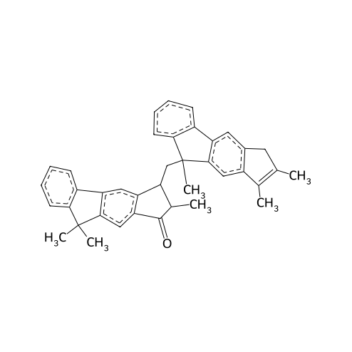 CC1=C(C)c2cc3c(cc2C1)-c1ccccc1C3(C)CC1c2cc3c(cc2C(=O)C1C)C(C)(C)c1ccccc1-3